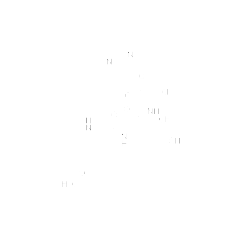 COc1cccc2[nH]c(C(=O)N[C@@H](CC(C)C)C(=O)NC(C)C(=O)Oc3cnc[nH]3)cc12